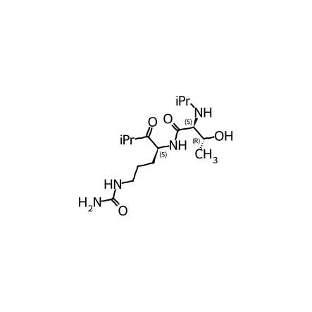 CC(C)N[C@H](C(=O)N[C@@H](CCCNC(N)=O)C(=O)C(C)C)[C@@H](C)O